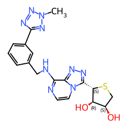 Cn1nnc(-c2cccc(CNc3nccn4c([C@@H]5SC[C@@H](O)[C@H]5O)nnc34)c2)n1